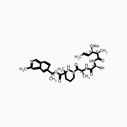 C/C=C/[C@@H](OC)[C@@H](C)C(=O)N[C@H](C(=O)N[C@@H](C)C(=O)N1CCCC(C)(C(=O)O[C@H](C)c2ccc3cnc(C)cc3c2)N1)C(C)C